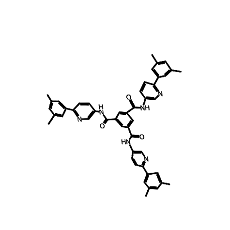 Cc1cc(C)cc(-c2ccc(NC(=O)c3cc(C(=O)Nc4ccc(-c5cc(C)cc(C)c5)nc4)cc(C(=O)Nc4ccc(-c5cc(C)cc(C)c5)nc4)c3)cn2)c1